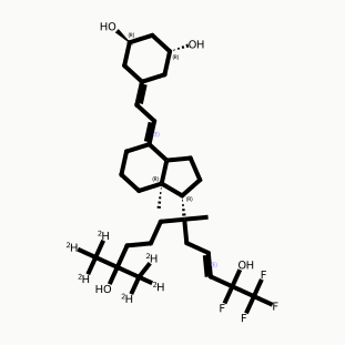 [2H]C([2H])([2H])C(O)(CCCC(C)(C/C=C/C(O)(F)C(F)(F)F)[C@H]1CCC2/C(=C/C=C3C[C@@H](O)C[C@H](O)C3)CCC[C@@]21C)C([2H])([2H])[2H]